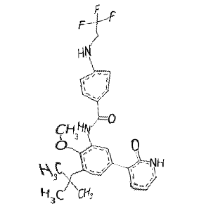 COc1c(NC(=O)c2ccc(NCC(F)(F)F)cc2)cc(-c2ccc[nH]c2=O)cc1C(C)(C)C